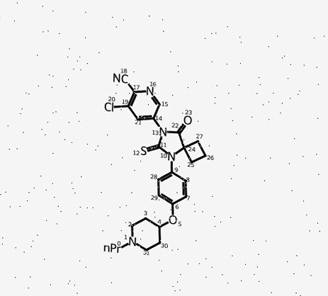 CCCN1CCC(Oc2ccc(N3C(=S)N(c4cnc(C#N)c(Cl)c4)C(=O)C34CCC4)cc2)CC1